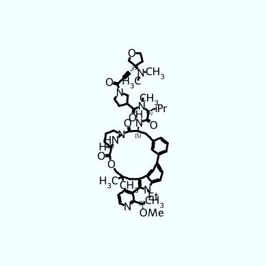 CCn1c(-c2cccnc2[C@H](C)OC)c2c3cc(ccc31)-c1cccc(c1)C[C@H](NC(=O)[C@H](C(C)C)N(C)C(=O)C1CCN(C(=O)C#C[C@@]3(N(C)C)CCOC3)C1)C(=O)N1CCC[C@H](N1)C(=O)OCC(C)(C)C2